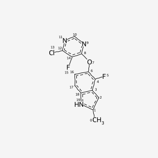 Cc1cc2c(F)c(Oc3ncnc(Cl)c3F)ccc2[nH]1